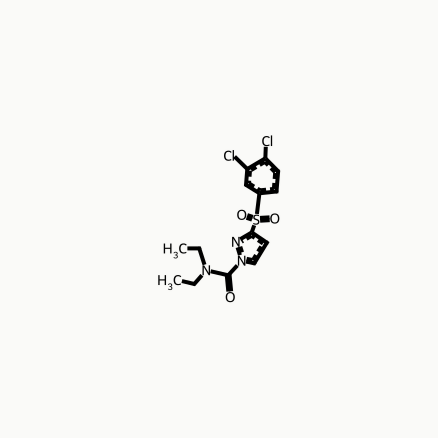 CCN(CC)C(=O)n1ccc(S(=O)(=O)c2ccc(Cl)c(Cl)c2)n1